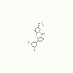 Cc1ncc(OC(C)C)cc1Nc1ncn(-c2cc(F)cc(F)c2)n1